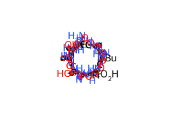 CCCC[C@H]1C(=O)N(C)CC(=O)N[C@@H](CC(=O)O)C(=O)N[C@@H](C(C)C)C(=O)N(C)[C@@H](Cc2cnc[nH]2)C(=O)N[C@@H](Cc2ccc(O)cc2)C(=O)N(C)CC(=O)N[C@@H](Cc2c[nH]c3ccccc23)C(=O)N[C@@H](Cc2ccc(O)cc2)C(=O)N[C@@H](CC(C)C)C(=O)N[C@H](C(=O)NCC(N)=O)CSCC(=O)N[C@@H](Cc2ccccc2)C(=O)N(C)[C@@H](Cc2cnc[nH]2)C(=O)N1C